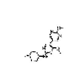 COc1ncc(-c2cnc(NC3CCC(C)CC3)nc2OC)cn1